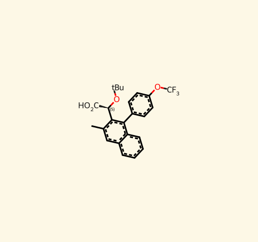 Cc1cc2ccccc2c(-c2ccc(OC(F)(F)F)cc2)c1[C@H](OC(C)(C)C)C(=O)O